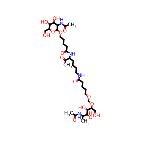 CC(=O)NC(C)C(O)C(O)C(CO)OCOCCCCC(=O)NCCCCC(NC(=O)CCCCOC1OC(CO)C(O)C(O)C1NC(C)=O)C(C)=O